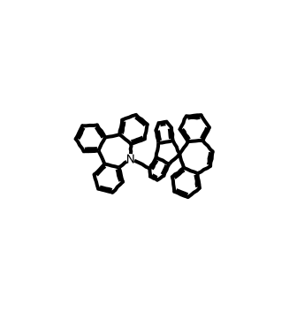 C1=Cc2ccccc2C2(c3ccccc31)c1ccccc1-c1c(N3c4ccccc4-c4ccccc4-c4ccccc43)cccc12